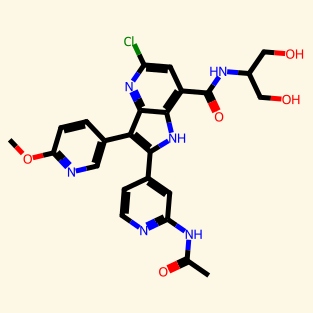 COc1ccc(-c2c(-c3ccnc(NC(C)=O)c3)[nH]c3c(C(=O)NC(CO)CO)cc(Cl)nc23)cn1